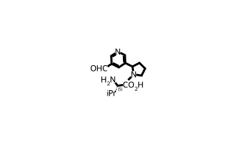 CC(C)[C@H](N)C(=O)O.CN1CCCC1c1cncc(C=O)c1